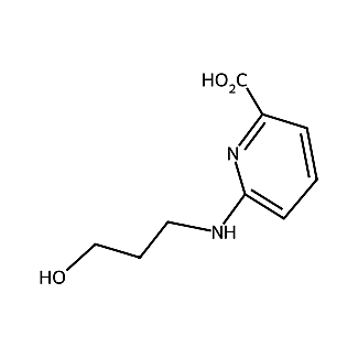 O=C(O)c1cccc(NCCCO)n1